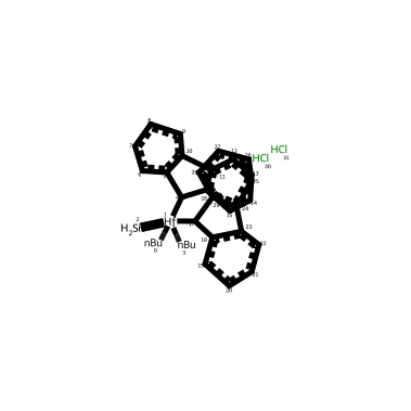 CCC[CH2][Hf](=[SiH2])([CH2]CCC)([CH]1c2ccccc2-c2ccccc21)[CH]1c2ccccc2-c2ccccc21.Cl.Cl